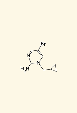 NC1N=CC(Br)=CN1CC1CC1